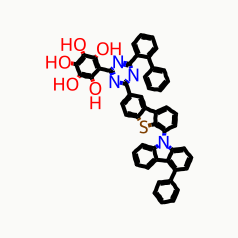 Oc1c(O)c(O)c(-c2nc(-c3ccc4sc5c(-n6c7ccccc7c7c(-c8ccccc8)cccc76)cccc5c4c3)nc(-c3ccccc3-c3ccccc3)n2)c(O)c1O